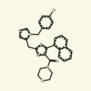 O=C(c1nc(Cc2cncn2Cc2ccc(Cl)cc2)sc1-c1cccc2ccccc12)N1CCOCC1